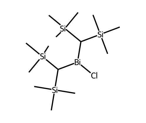 C[Si](C)(C)[CH]([Bi]([Cl])[CH]([Si](C)(C)C)[Si](C)(C)C)[Si](C)(C)C